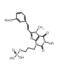 CCCn1c(=O)c2c(nc(/C=C/c3cccc(OC)c3)n2C)n(CCCOP(=O)(O)O)c1=O